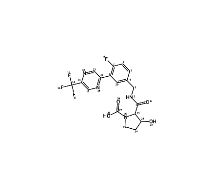 O=C(NCc1ccc(F)c(-c2cnc(C(F)(F)F)cn2)c1)C1C(O)CCN1C(=O)O